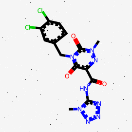 Cn1nnnc1NC(=O)c1nn(C)c(=O)n(Cc2ccc(Cl)c(Cl)c2)c1=O